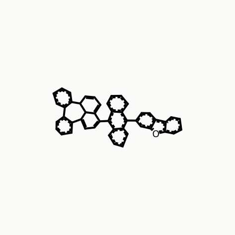 C1=CC2c3ccccc3-c3ccccc3C3=CC=C(c4c5ccccc5c(-c5ccc6c(c5)oc5ccccc56)c5ccccc45)C(=C1)C32